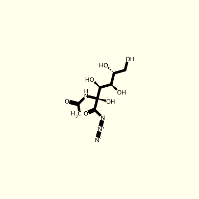 CC(=O)N[C@@](O)(C(=O)N=[N+]=[N-])[C@@H](O)[C@H](O)[C@H](O)CO